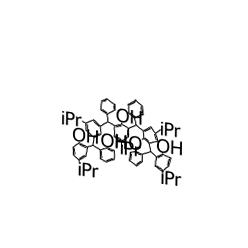 CC(C)c1ccc(O)c(C(c2ccccc2)c2cc(C(C)C)cc(C(c3ccccc3)c3cc(C(C)C)cc(C(c4ccccc4)c4cc(C(C)C)cc(C(c5ccccc5)c5cc(C(C)C)ccc5O)c4O)c3O)c2O)c1